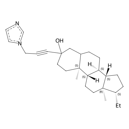 CC[C@H]1CC[C@H]2[C@@H]3CCC4CC(O)(C#CCn5ccnc5)CC[C@]4(C)[C@H]3CC[C@]12C